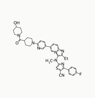 CCc1nc2ccc(-c3ccc(N4CCC(C(=O)N5CCC(O)CC5)CC4)nc3)cn2c1N(C)c1nc(-c2ccc(F)cc2)c(C#N)s1